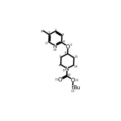 Cc1ccc(OC2CCN(C(=O)OC(C)(C)C)CC2)nc1